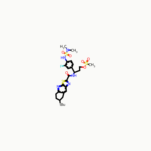 CN(C)S(=O)(=O)Nc1ccc(C(CCOS(C)(=O)=O)NC(=O)c2nc3cc4c(nc3s2)CCC(C(C)(C)C)C4)cc1F